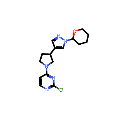 Clc1nccc(N2CCC(c3cnn(C4CCCCO4)c3)C2)n1